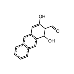 O=CC1C(O)=Cc2cc3ccccc3cc2C1O